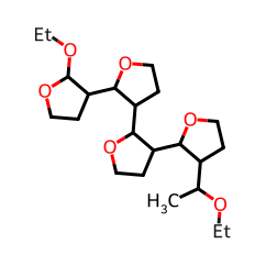 CCOC(C)C1CCOC1C1CCOC1C1CCOC1C1CCOC1OCC